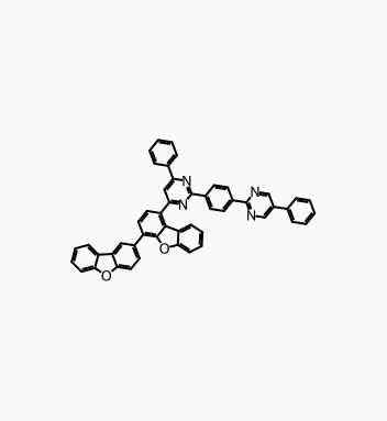 c1ccc(-c2cnc(-c3ccc(-c4nc(-c5ccccc5)cc(-c5ccc(-c6ccc7oc8ccccc8c7c6)c6oc7ccccc7c56)n4)cc3)nc2)cc1